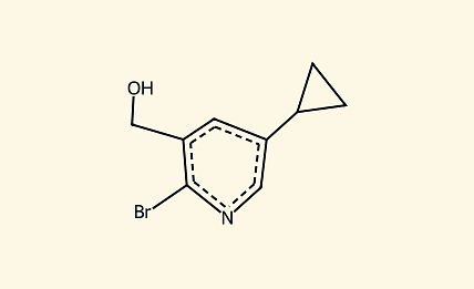 OCc1cc(C2CC2)cnc1Br